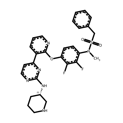 CN(c1ccc(Oc2ncccc2-c2ccnc(N[C@H]3CCCNC3)n2)c(F)c1F)S(=O)(=O)Cc1ccccc1